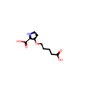 O=C(O)CCCCOc1cc[nH]c1C(=O)O